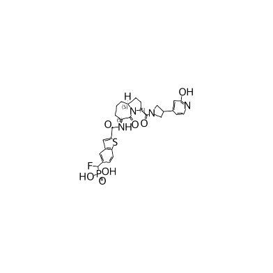 O=C(N[C@H]1CCC[C@H]2CC[C@@H](C(=O)N3CC(c4ccnc(O)c4)C3)N2C1=O)c1cc2cc(C(F)P(=O)(O)O)ccc2s1